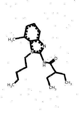 CCCCCn1c(NC(=O)C(CC)CC)nc2cccc(C)c21